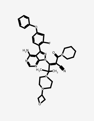 CC(C)(C(=C(C#N)C(=O)N1CCCCC1)n1nc(-c2ccc(Oc3ccccc3)cc2F)c2c(N)ncnc21)N1CCN(C2COC2)CC1